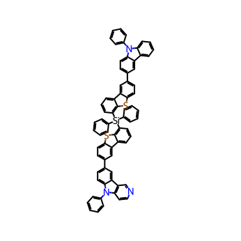 c1ccc(-n2c3ccccc3c3cc(-c4ccc5sc6c([Si](c7ccccc7)(c7ccccc7)c7cccc8c7sc7ccc(-c9ccc%10c(c9)c9cnccc9n%10-c9ccccc9)cc78)cccc6c5c4)ccc32)cc1